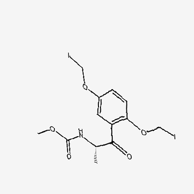 COC(=O)N[C@@H](C)C(=O)c1cc(OCI)ccc1OCI